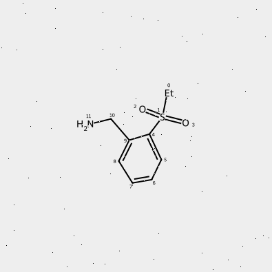 CCS(=O)(=O)c1cc[c]cc1CN